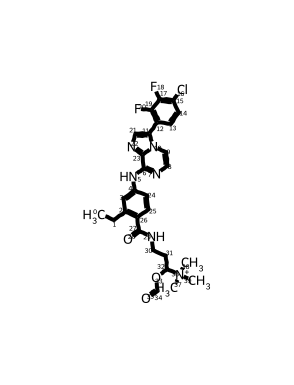 CCc1cc(Nc2nccn3c(-c4ccc(Cl)c(F)c4F)cnc23)ccc1C(=O)NCCC(OC=O)[N+](C)(C)C